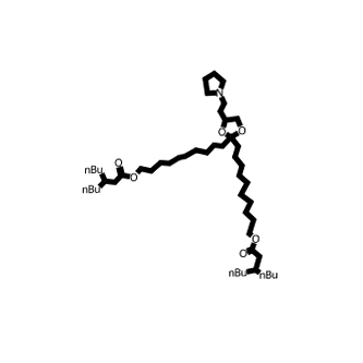 CCCCC(CCCC)CC(=O)OCCCCCCCCCCC1(CCCCCCCCCCOC(=O)CC(CCCC)CCCC)OCC(CCN2CCCC2)O1